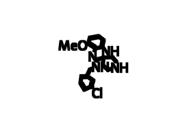 COc1cccc2c1N=C(NCc1cccc(Cl)c1)C1(CCNCC1)N2